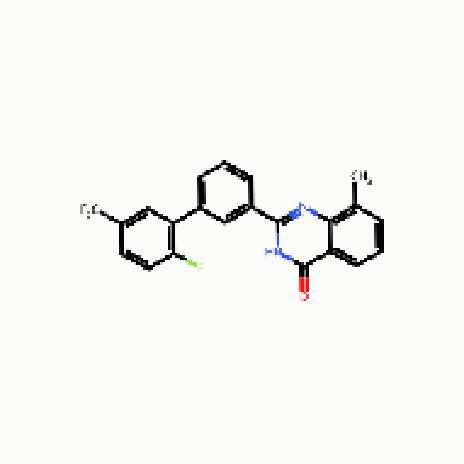 Cc1cccc2c(=O)[nH]c(-c3cccc(-c4cc(C(F)(F)F)ccc4F)c3)nc12